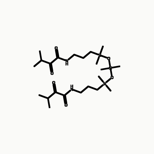 CC(C)C(=O)C(=O)NCCC[Si](C)(C)O[Si](C)(C)O[Si](C)(C)CCCNC(=O)C(=O)C(C)C